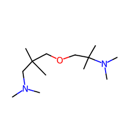 CN(C)CC(C)(C)COCC(C)(C)N(C)C